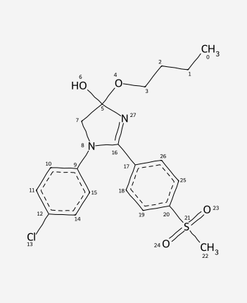 CCCCOC1(O)CN(c2ccc(Cl)cc2)C(c2ccc(S(C)(=O)=O)cc2)=N1